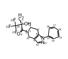 C[C@@](O)(C(=O)N1CCc2c(cnn2-c2ccccc2)C1)C(F)(F)F